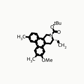 C=C[C@@H]1Cc2c(c3ccc(C)cc3c3cc(C)c(OC)cc23)CN1C(=O)OC(C)(C)C